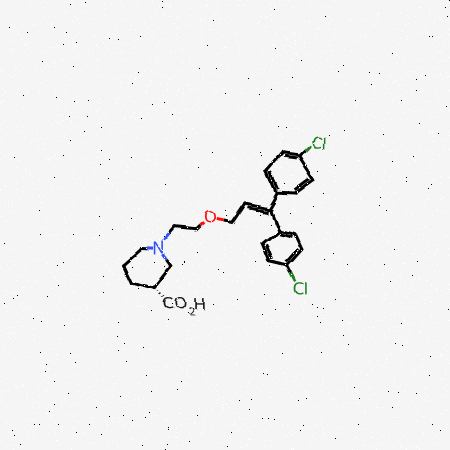 O=C(O)[C@@H]1CCCN(CCOCC=C(c2ccc(Cl)cc2)c2ccc(Cl)cc2)C1